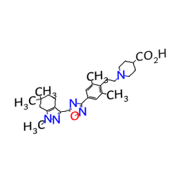 Cc1cc(-c2noc(-c3nn(C)c4c3CCC(C)(C)C4)n2)cc(C)c1CCN1CCC(C(=O)O)CC1